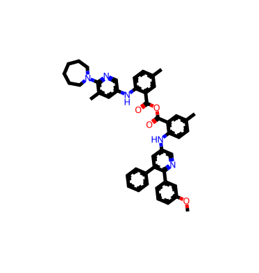 COc1cccc(-c2ncc(Nc3ccc(C)cc3C(=O)OC(=O)c3cc(C)ccc3Nc3cnc(N4CCCCCC4)c(C)c3)cc2-c2ccccc2)c1